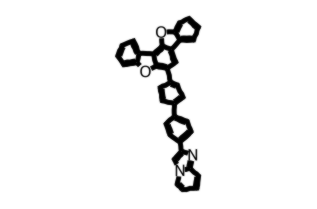 c1ccc2c(c1)oc1c2cc(-c2ccc(-c3ccc(-c4cn5ccccc5n4)cc3)cc2)c2oc3ccccc3c21